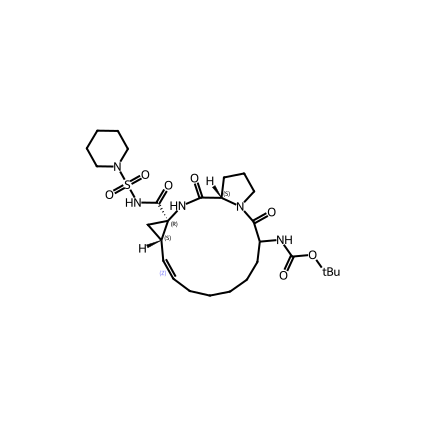 CC(C)(C)OC(=O)NC1CCCCC/C=C\[C@@H]2C[C@@]2(C(=O)NS(=O)(=O)N2CCCCC2)NC(=O)[C@@H]2CCCN2C1=O